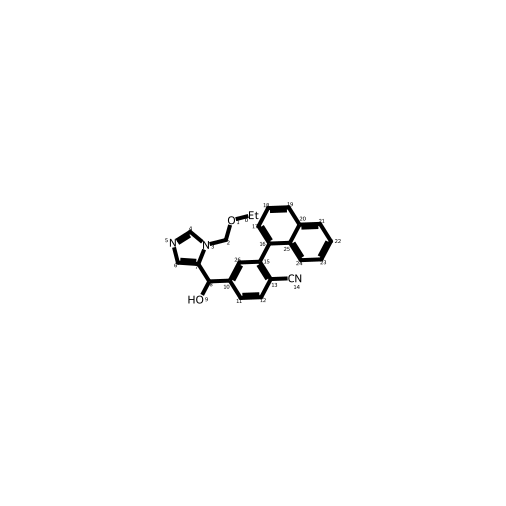 CCOCn1cncc1C(O)c1ccc(C#N)c(-c2cccc3ccccc23)c1